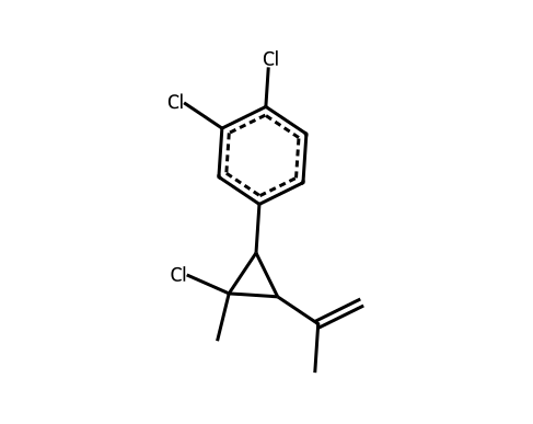 C=C(C)C1C(c2ccc(Cl)c(Cl)c2)C1(C)Cl